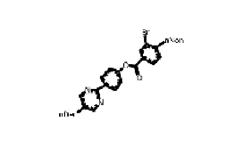 CCCCCCCCCCc1cnc(-c2ccc(OC(=O)c3ccc(CCCCCCCCC)c(Br)c3)cc2)nc1